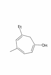 CCC1=CC(C)=CC=C(O)C1